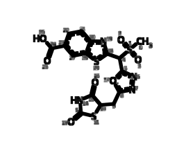 CS(=O)(=O)C(c1nnc(CC2SC(=O)NC2=O)o1)c1nc2ccc(C(=O)O)cc2s1